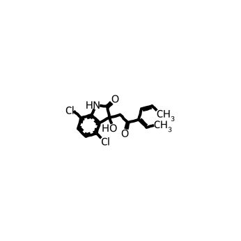 C/C=C\C(=C/C)C(=O)CC1(O)C(=O)Nc2c(Cl)ccc(Cl)c21